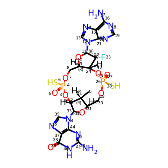 C[C@H]1[C@H]2OP(=O)(S)OC[C@H]3O[C@@H](n4cnc5c(N)ncnc54)[C@H](F)[C@@H]3OP(=O)(S)OC[C@H]1O[C@H]2n1cnc2c(=O)[nH]c(N)nc21